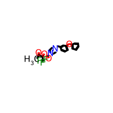 CC(=O)C(OC(=O)N1CCN(Cc2cccc(Oc3ccccc3)c2)CC1)C(F)(F)F